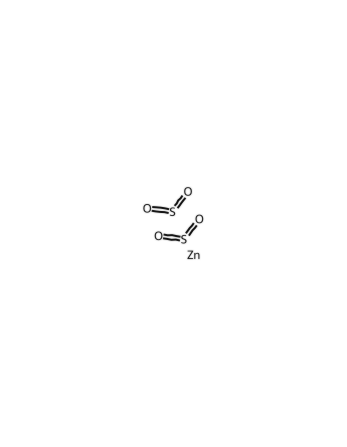 O=S=O.O=S=O.[Zn]